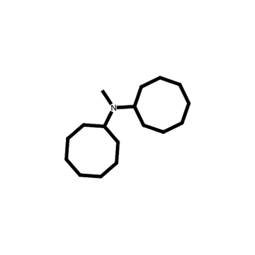 CN(C1CCCCCCC1)C1CCCCCCC1